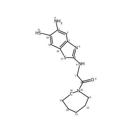 Nc1cc2nc(NCC(=O)N3CCCCCC3)sc2cc1S